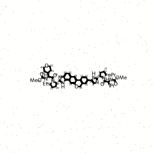 CCC[C@H]1[C@@H](C)C[C@@H](c2ncc(-c3ccc4c(c3)COc3cc5c(ccc6nc([C@@H]7CC[C@H](CC)N7C(=O)[C@@H](NC(=O)OC)C7CCOCC7)[nH]c65)cc3-4)[nH]2)N1C(=O)C(NC(=O)OC)C(C)C